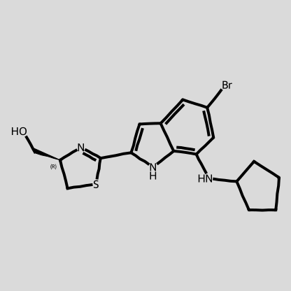 OC[C@@H]1CSC(c2cc3cc(Br)cc(NC4CCCC4)c3[nH]2)=N1